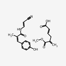 C=C(CC=CC(=O)O)C(=O)OC.CC(=Cc1ccc(O)cc1)C(=O)NC=CC#N